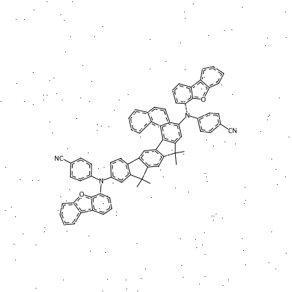 CC1(C)c2cc(N(c3ccc(C#N)cc3)c3cccc4c3oc3ccccc34)ccc2-c2cc3c(cc21)C(C)(C)c1cc(N(c2ccc(C#N)cc2)c2cccc4c2oc2ccccc24)c2ccc4ccccc4c2c1-3